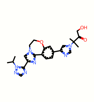 CC(C)n1ncnc1-c1cn2c(n1)-c1ccc(-c3cn(C(C)(C)C(=O)CO)cn3)cc1OCC2